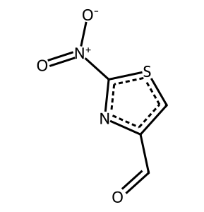 O=Cc1csc([N+](=O)[O-])n1